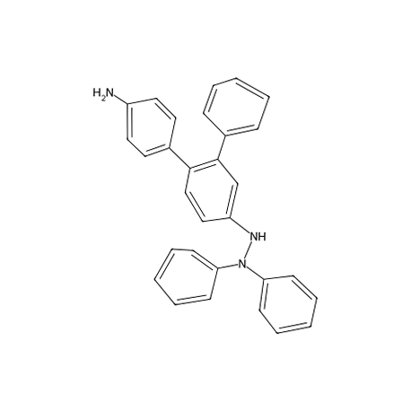 Nc1ccc(-c2ccc(NN(c3ccccc3)c3ccccc3)cc2-c2ccccc2)cc1